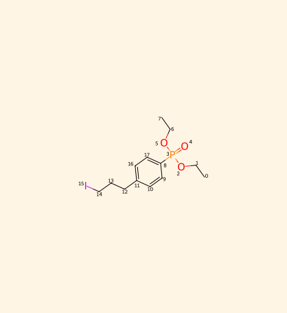 CCOP(=O)(OCC)c1ccc(CCCI)cc1